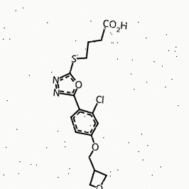 O=C(O)CCCSc1nnc(-c2ccc(OCC3COC3)cc2Cl)o1